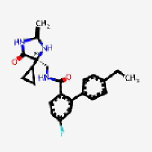 C=C1NC(=O)[C@](CNC(=O)c2ccc(F)cc2-c2ccc(CC)cc2)(C2CC2)N1